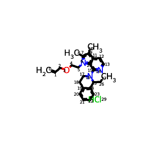 C=CCOCCn1c(C)c(C)c2ccnc(N3CCc4ccccc4C3CC)c21.Cl